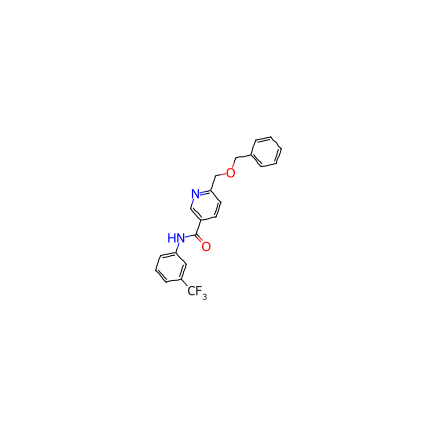 O=C(Nc1cccc(C(F)(F)F)c1)c1ccc(COCc2ccccc2)nc1